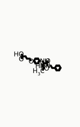 CC(=O)NC(Nc1ccc(OCCCC(=O)O)cc1)C(=O)NCCc1ccccc1